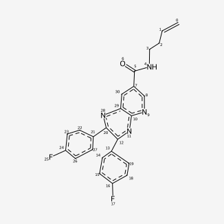 C=CCCNC(=O)c1cnc2nc(-c3ccc(F)cc3)c(-c3ccc(F)cc3)nc2c1